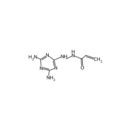 C=CC(=O)NCNc1nc(N)nc(N)n1